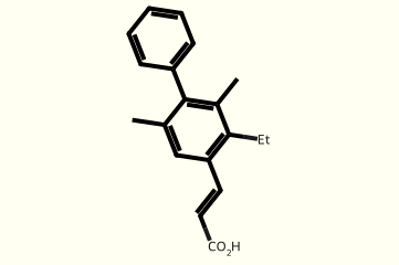 CCc1c(C=CC(=O)O)cc(C)c(-c2ccccc2)c1C